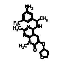 Cc1nc(N[C@H](C)c2cc(N)cc(C(F)(F)F)c2)c2cc(O[C@H]3CCOC3)c(=O)n(C)c2n1